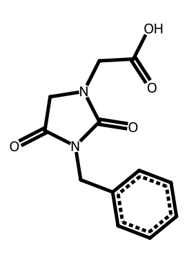 O=C(O)CN1CC(=O)N(Cc2ccccc2)C1=O